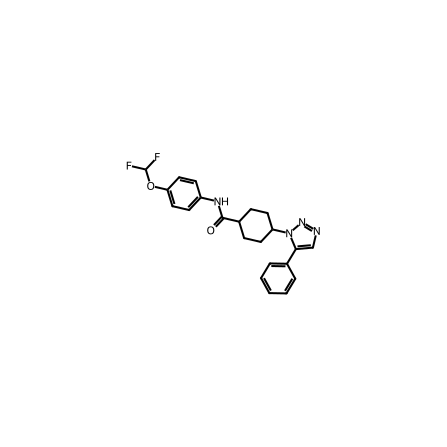 O=C(Nc1ccc(OC(F)F)cc1)C1CCC(n2nncc2-c2ccccc2)CC1